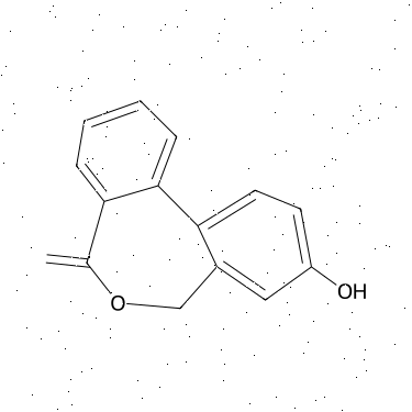 C=C1OCc2cc(O)ccc2-c2ccccc21